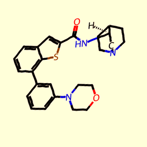 O=C(N[C@@H]1CN2CCC1CC2)c1cc2cccc(-c3cccc(N4CCOCC4)c3)c2s1